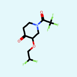 O=C1CCN(C(=O)C(F)(F)F)CC1OCC(F)F